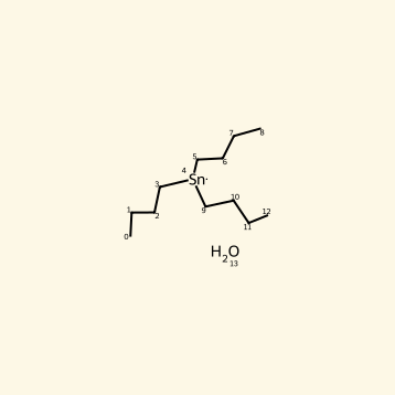 CCC[CH2][Sn]([CH2]CCC)[CH2]CCC.O